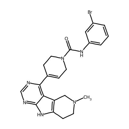 CN1CCc2[nH]c3ncnc(C4=CCN(C(=O)Nc5cccc(Br)c5)CC4)c3c2C1